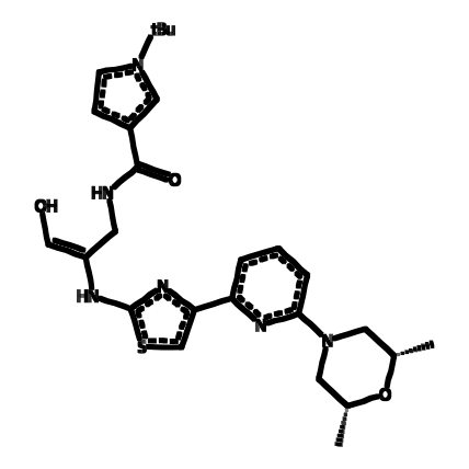 C[C@@H]1CN(c2cccc(-c3csc(N/C(=C/O)CNC(=O)c4ccn(C(C)(C)C)c4)n3)n2)C[C@H](C)O1